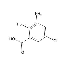 Nc1cc(Cl)cc(C(=O)O)c1S